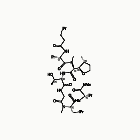 CNC(=O)[C@@H](NC(=O)[C@H](CC(C)C)N(C)C(=O)CNC(=O)[C@@H](NC(=O)[C@H]([C@@H]1OCC[C@H]1C)N(C)C(=O)[C@@H](NC(=O)CCC(C)C)C(C)C)[C@@H](C)O)C(C)C